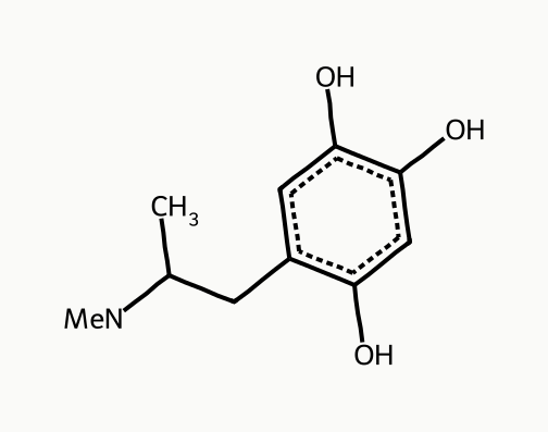 CNC(C)Cc1cc(O)c(O)cc1O